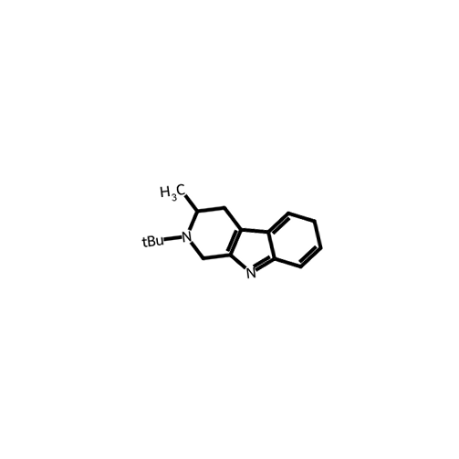 CC1CC2=C(CN1C(C)(C)C)N=C1C=CCC=C12